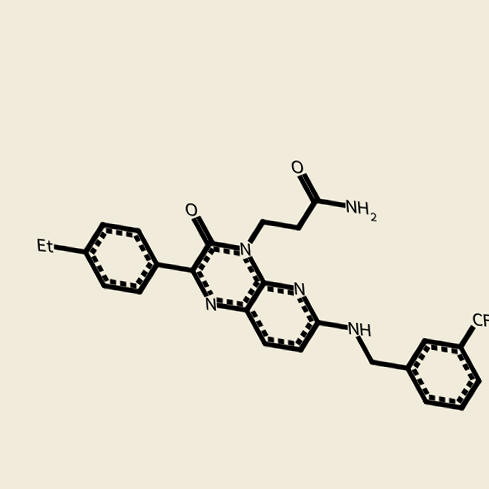 CCc1ccc(-c2nc3ccc(NCc4cccc(C(F)(F)F)c4)nc3n(CCC(N)=O)c2=O)cc1